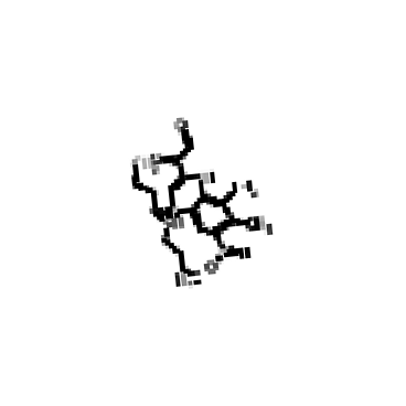 CCCCNCCCC.Cc1c([N+](=O)[O-])cc2c(c1C)NC(C(=O)C=O)=CN2